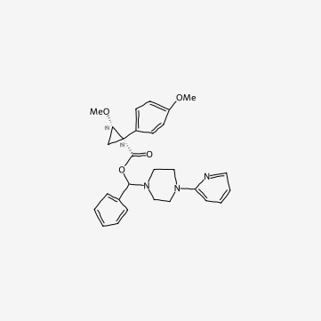 COc1ccc([C@@]2(C(=O)OC(c3ccccc3)N3CCN(c4ccccn4)CC3)C[C@@H]2OC)cc1